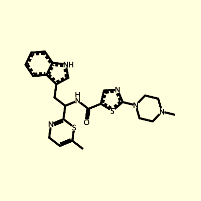 CC1=CCN=C(C(Cc2c[nH]c3ccccc23)NC(=O)c2cnc(N3CCN(C)CC3)s2)S1